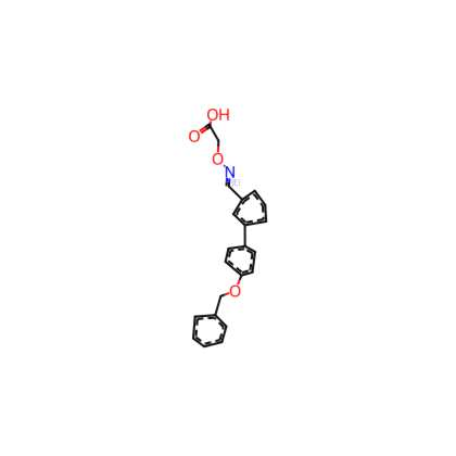 O=C(O)CO/N=C/c1cccc(-c2ccc(OCc3ccccc3)cc2)c1